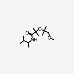 COCC(C)(C)OC(C)(C)C(=O)NC(C)C(C)C